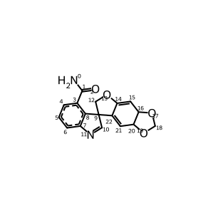 NC(=O)c1cccc2c1C1(C=N2)COC2=CC3OCOC3C=C21